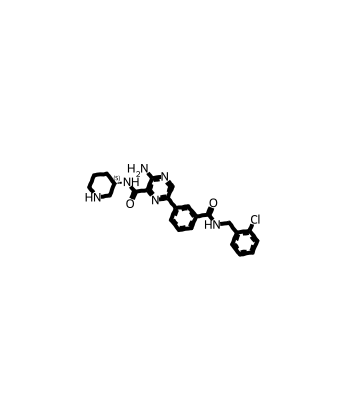 Nc1ncc(-c2cccc(C(=O)NCc3ccccc3Cl)c2)nc1C(=O)N[C@H]1CCCNC1